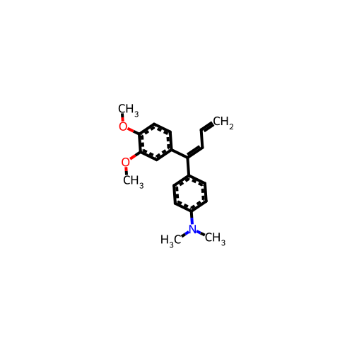 C=C/C=C(/c1ccc(N(C)C)cc1)c1ccc(OC)c(OC)c1